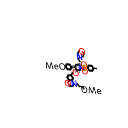 COCCCN1CCOc2ccc(CO[C@H]3CN(S(=O)(=O)c4ccc(C)cc4)[C@@H](CCN4CCOCC4)C[C@@H]3c3ccc(OC)cc3)cc21